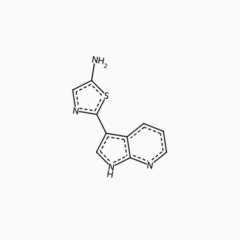 Nc1cnc(-c2c[nH]c3ncccc23)s1